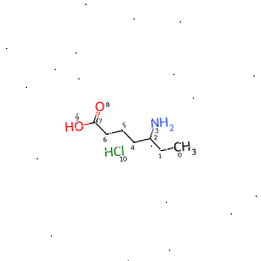 CCC(N)CCCC(=O)O.Cl